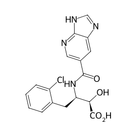 O=C(N[C@H](Cc1ccccc1Cl)[C@@H](O)C(=O)O)c1cnc2[nH]cnc2c1